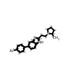 CC(=O)c1ccc(-c2ccc3[nH]c(CCN4CCCC4C)nc3c2)cc1